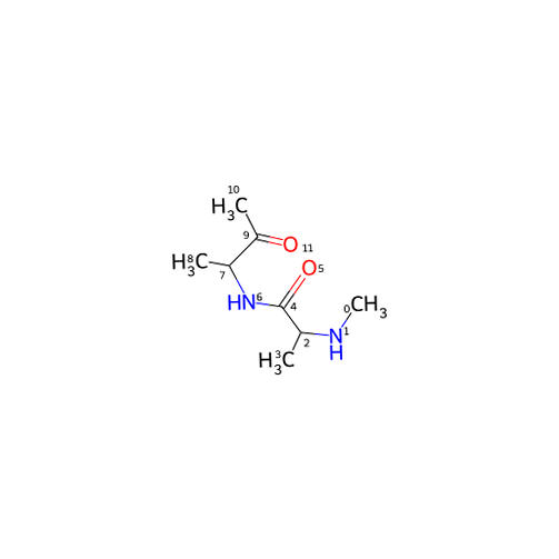 CNC(C)C(=O)NC(C)C(C)=O